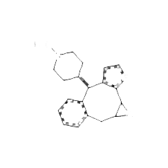 CN1CCC(=C2c3ccccc3CC3OC3c3sccc32)CC1